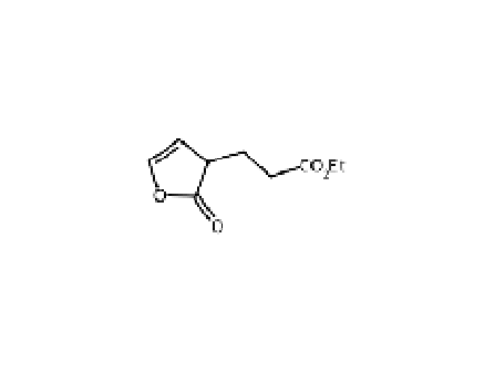 CCOC(=O)CCC1C=COC1=O